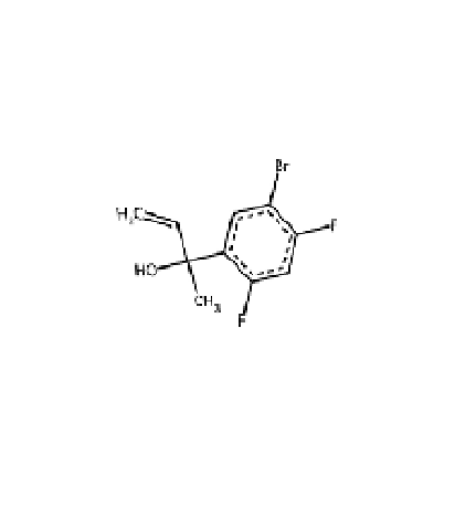 C=CC(C)(O)c1cc(Br)c(F)cc1F